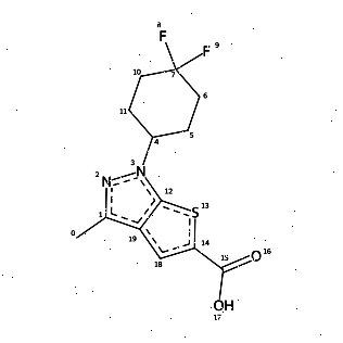 Cc1nn(C2CCC(F)(F)CC2)c2sc(C(=O)O)cc12